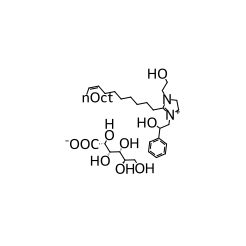 CCCCCCCC/C=C\CCCCCCCC1=[N+](CC(O)c2ccccc2)CCN1CCO.O=C([O-])[C@H](O)[C@@H](O)[C@H](O)[C@H](O)CO